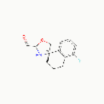 O=CC1N[C@]2(CCCc3c(F)cccc32)CO1